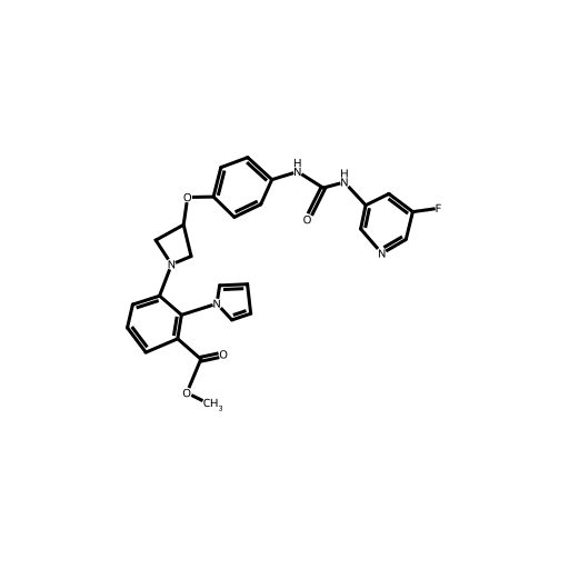 COC(=O)c1cccc(N2CC(Oc3ccc(NC(=O)Nc4cncc(F)c4)cc3)C2)c1-n1cccc1